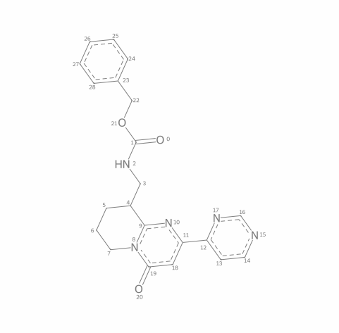 O=C(NCC1CCCn2c1nc(-c1ccncn1)cc2=O)OCc1ccccc1